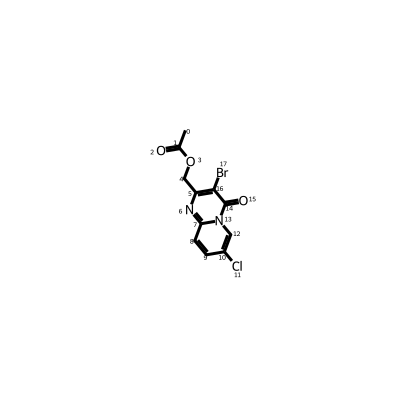 CC(=O)OCc1nc2ccc(Cl)cn2c(=O)c1Br